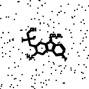 CCOC(=O)n1c2c(c3cc(F)ccc31)CC(C)N(CC(F)(F)CO)C2